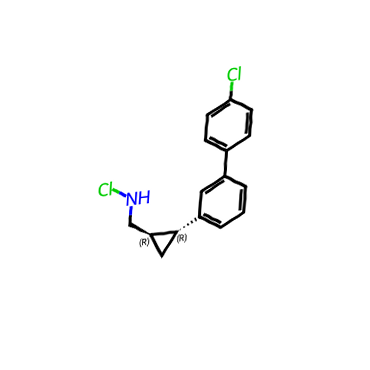 ClNC[C@@H]1C[C@H]1c1cccc(-c2ccc(Cl)cc2)c1